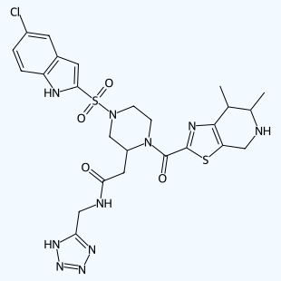 CC1NCc2sc(C(=O)N3CCN(S(=O)(=O)c4cc5cc(Cl)ccc5[nH]4)CC3CC(=O)NCc3nnn[nH]3)nc2C1C